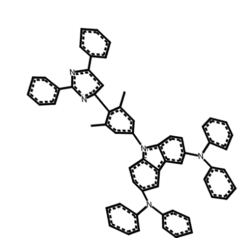 Cc1cc(-n2c3ccc(N(c4ccccc4)c4ccccc4)cc3c3cc(N(c4ccccc4)c4ccccc4)ccc32)cc(C)c1-c1cc(-c2ccccc2)nc(-c2ccccc2)n1